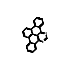 c1ccc2c(c1)c1cccc3c4ccccc4c4ncnc2c4c13